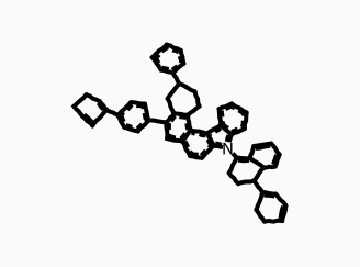 C1=CCCC(C2CCC(n3c4ccccc4c4c5c6c(c(-c7ccc(C8=CCCC=C8)cc7)cc5ccc43)CC(c3ccccc3)CC6)=C3C=CC=CC32)=C1